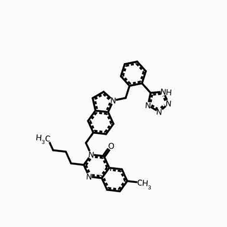 CCCCc1nc2ccc(C)cc2c(=O)n1Cc1ccc2c(ccn2Cc2ccccc2-c2nnn[nH]2)c1